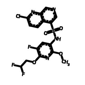 COc1nc(OCC(F)F)c(F)cc1NS(=O)(=O)c1cncc2nc(Cl)ccc12